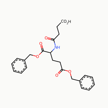 O=C(O)CCC(=O)NC(CCC(=O)OCc1ccccc1)C(=O)OCc1ccccc1